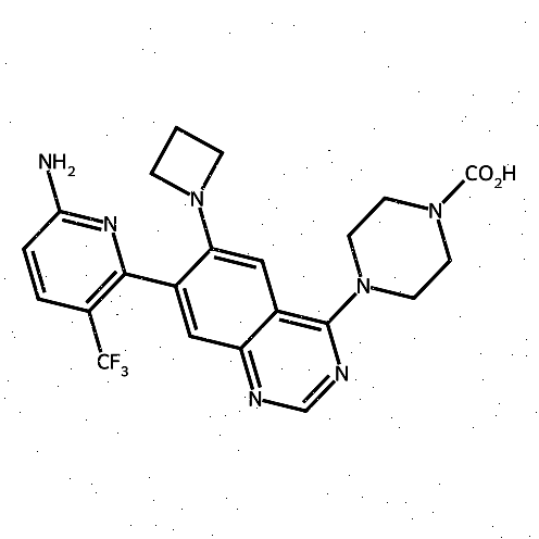 Nc1ccc(C(F)(F)F)c(-c2cc3ncnc(N4CCN(C(=O)O)CC4)c3cc2N2CCC2)n1